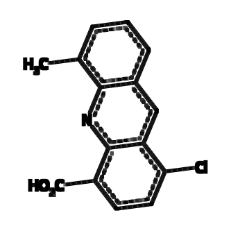 Cc1cccc2cc3c(Cl)ccc(C(=O)O)c3nc12